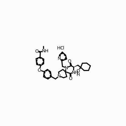 CNC(=O)c1ccc(Oc2ccc(CN3CCC4(CC3)C(=O)N[C@H](CC3(O)CCCCC3)C(=O)N4Cc3ccccn3)cc2)cc1.Cl